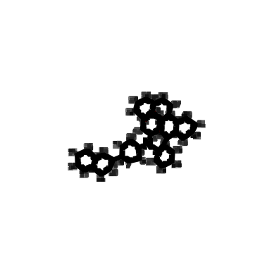 c1ccc(N(c2ccc(-c3ccc4ccccc4c3)cc2)c2ccccc2-c2cc3c4ccccc4ccc3c3ccccc23)cc1